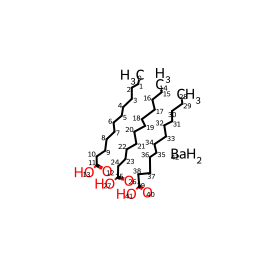 CCCCCCCCCCCC(=O)O.CCCCCCCCCCCC(=O)O.CCCCCCCCCCCC(=O)O.[BaH2]